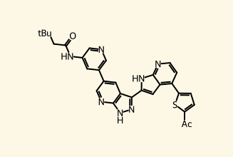 CC(=O)c1ccc(-c2ccnc3[nH]c(-c4n[nH]c5ncc(-c6cncc(NC(=O)CC(C)(C)C)c6)cc45)cc23)s1